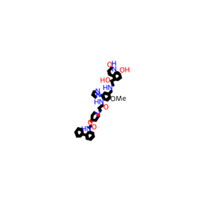 COc1cc(NC(=O)CCN2CCC(OC(=O)Nc3ccccc3-c3ccccc3)CC2)c(-n2cccn2)cc1CNC[C@H](O)c1ccc(O)c2[nH]c(=O)ccc12